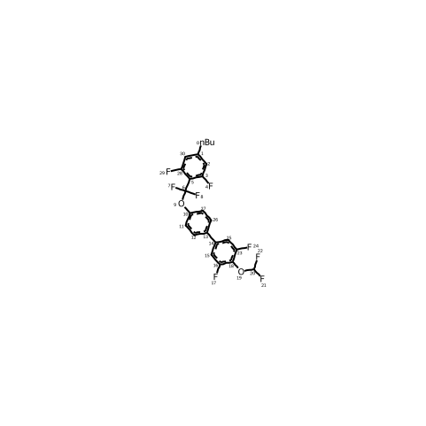 CCCCc1cc(F)c(C(F)(F)Oc2ccc(-c3cc(F)c(OC(F)F)c(F)c3)cc2)c(F)c1